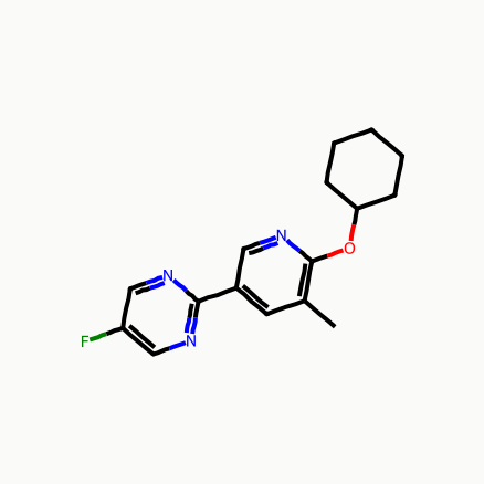 Cc1cc(-c2ncc(F)cn2)cnc1OC1CCCCC1